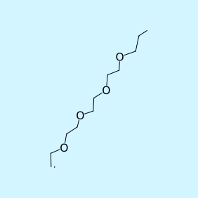 [CH2]COCCOCCOCCOCCC